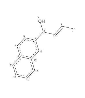 [CH2]C=CC(O)c1ccc2ccccc2c1